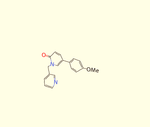 COc1ccc(-c2ccc(=O)n(Cc3cccnc3)c2)cc1